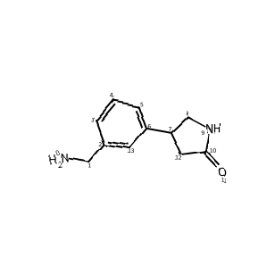 NCc1cccc(C2CNC(=O)C2)c1